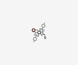 CC1CCC(C(=O)Oc2c3c(c(OC(=O)C4CCC(C)CC4)c4c2C2c5ccccc5C4c4ccccc42)SC(=CC#N)S3)CC1